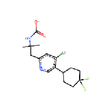 CC(C)(Cc1cc(Cl)c(C2CCC(F)(F)CC2)cn1)NC(=O)O